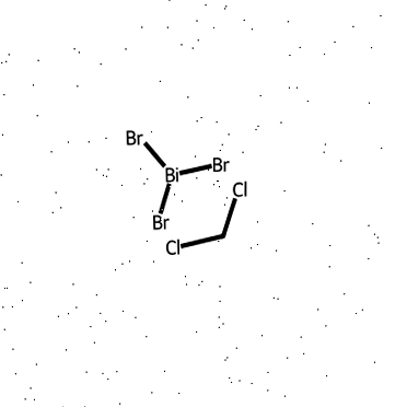 ClCCl.[Br][Bi]([Br])[Br]